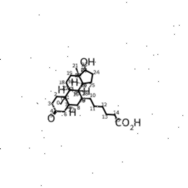 C[C@]12CCC(=O)C[C@@H]1C[C@H](CCCCCC(=O)O)[C@@H]1[C@@H]2CC[C@]2(C)[C@@H](O)CC[C@@H]12